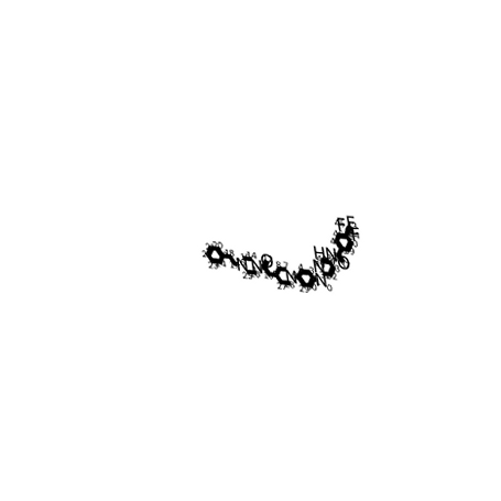 CN(c1ccc(N2CCC(CC(=O)N3CCN(CCc4ccccc4)CC3)CC2)cc1)c1ccc(NC(=O)c2ccc(C(F)(F)F)cc2)cn1